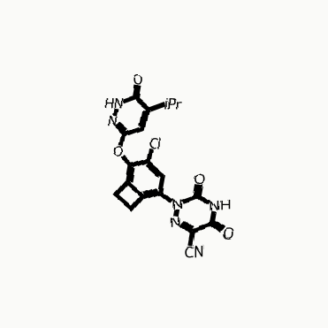 CC(C)c1cc(Oc2c(Cl)cc(-n3nc(C#N)c(=O)[nH]c3=O)c3c2CC3)n[nH]c1=O